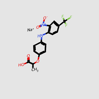 CC(Oc1ccc(Nc2ccc(C(F)(F)F)cc2[N+](=O)[O-])cc1)C(=O)O.[Na+]